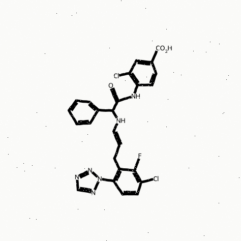 O=C(O)c1ccc(NC(=O)C(NC=CCc2c(-n3ncnn3)ccc(Cl)c2F)c2ccccc2)c(Cl)c1